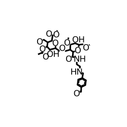 COCC1OC(C(=O)NCCNCc2ccc(C=O)cc2)C(COCC2OC(C(=O)OC)C(COC)C(OC(C)=O)C2O)C(OC)C1O